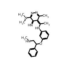 CNCC(Oc1cccc(N/C(C)=C2\C(=N)C(N(C)C)=NN=C2C)c1)c1ccccc1